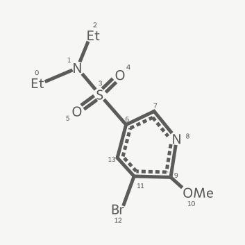 CCN(CC)S(=O)(=O)c1cnc(OC)c(Br)c1